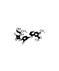 COc1cc2nccc(Oc3ccc(Nc4c(N[C@@H](C)CO)c(=O)c4=O)c(Cl)c3)c2cc1C(N)=O